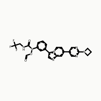 O=CON(C(=O)NCC(F)(F)F)c1cccc(-c2cnc3cc(-c4cnc(N5CCC5)nc4)ccn23)c1